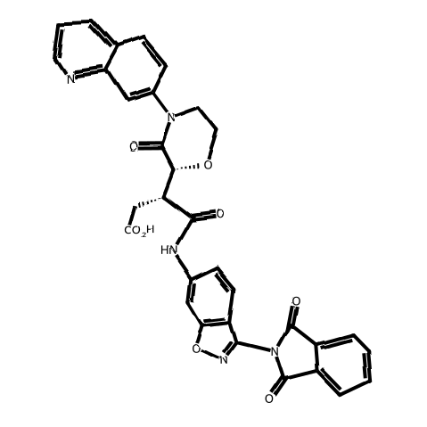 O=C(O)C[C@@H](C(=O)Nc1ccc2c(N3C(=O)c4ccccc4C3=O)noc2c1)[C@H]1OCCN(c2ccc3cccnc3c2)C1=O